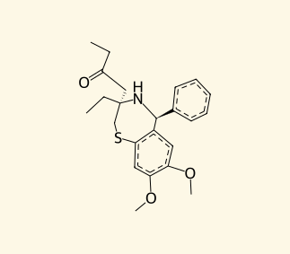 CCC(=O)C[C@@]1(CC)CSc2cc(OC)c(OC)cc2[C@H](c2ccccc2)N1